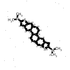 CN(C)c1cc2cc3c(ccc4c5cc6cc(N(C)C)sc6cc5ccc34)cc2s1